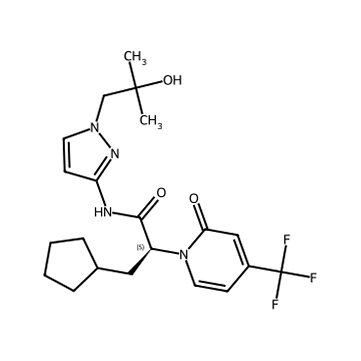 CC(C)(O)Cn1ccc(NC(=O)[C@H](CC2CCCC2)n2ccc(C(F)(F)F)cc2=O)n1